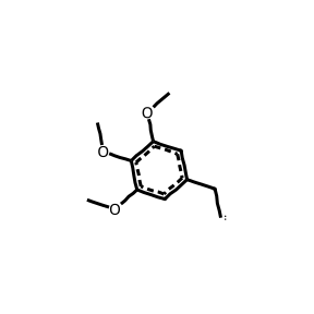 [CH]Cc1cc(OC)c(OC)c(OC)c1